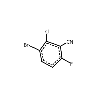 N#Cc1c(F)ccc(Br)c1Cl